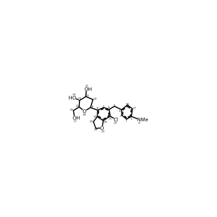 CNc1ccc(Cc2cc(C3CC(O)[C@H](O)C(CO)O3)c3c(c2Cl)OCC3)cc1